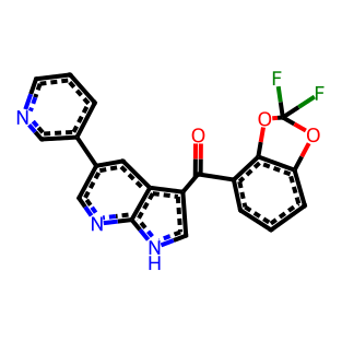 O=C(c1cccc2c1OC(F)(F)O2)c1c[nH]c2ncc(-c3cccnc3)cc12